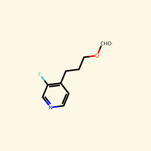 O=[C]OCCCc1ccncc1F